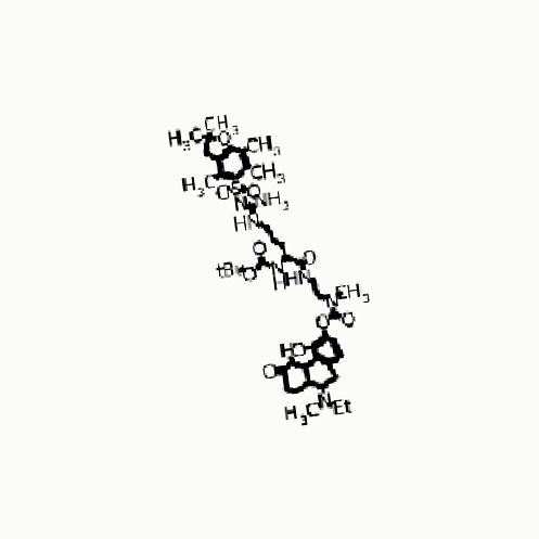 CCN(C)[C@@H]1Cc2ccc(OC(=O)N(C)CCNC(=O)[C@H](CCCN/C(N)=N/S(=O)(=O)c3c(C)c(C)c4c(c3C)CC(C)(C)O4)NC(=O)OC(C)(C)C)c3c2C2C1CCC(=O)[C@@H]2O3